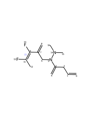 C=CCC(=C)N(CC(=C)/C(F)=C(\C)F)N(C)C